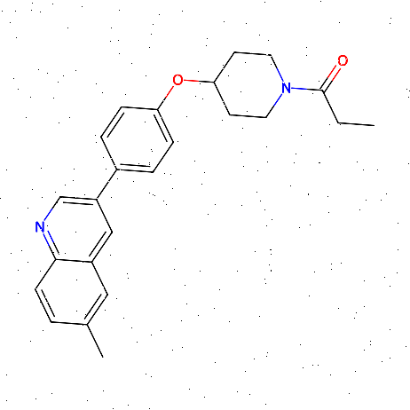 CCC(=O)N1CCC(Oc2ccc(-c3cnc4ccc(C)cc4c3)cc2)CC1